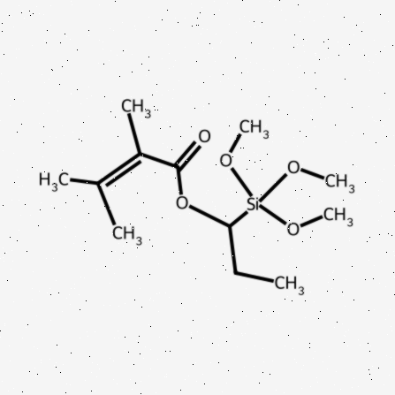 CCC(OC(=O)C(C)=C(C)C)[Si](OC)(OC)OC